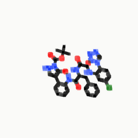 CC(C)(C)OC(=O)n1[nH]cc(-c2ccccc2NC(=O)C(Cc2ccccc2)NC(=O)C(=O)Nc2cc(Cl)ccc2-n2cnnn2)c1=O